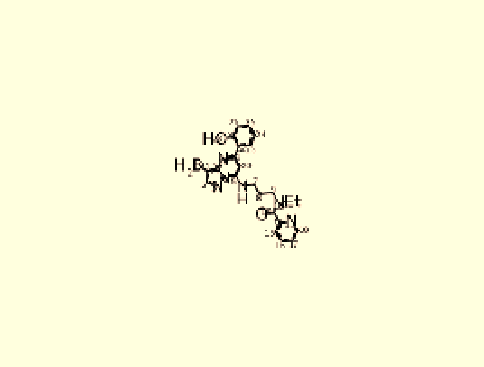 Bc1cnn2c(NCCCN(CC)C(=O)c3ccccn3)cc(-c3ccccc3O)nc12